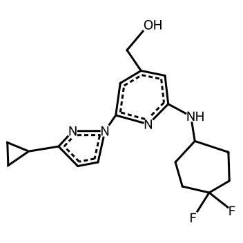 OCc1cc(NC2CCC(F)(F)CC2)nc(-n2ccc(C3CC3)n2)c1